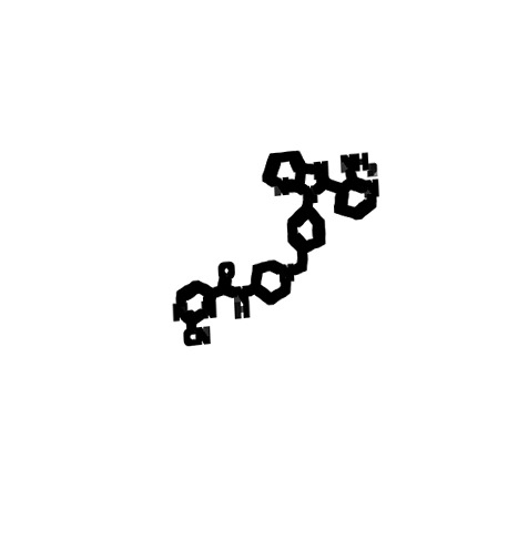 N#Cc1nccc(C(=O)NC2CCN(Cc3ccc(-n4c(-c5cccnc5N)nc5cccnc54)cc3)CC2)n1